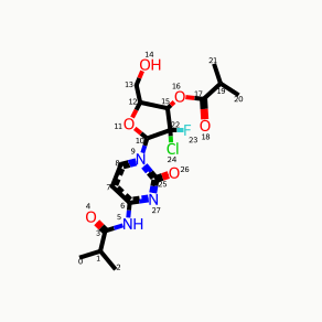 CC(C)C(=O)Nc1ccn(C2OC(CO)C(OC(=O)C(C)C)C2(F)Cl)c(=O)n1